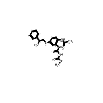 COC(=O)NC(=S)Nc1cc(OCC(O)c2ccccc2)ccc1NC(C)=O